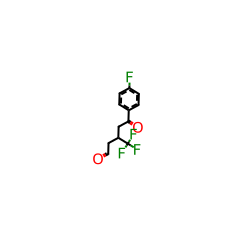 O=CCC(CC(=O)c1ccc(F)cc1)C(F)(F)F